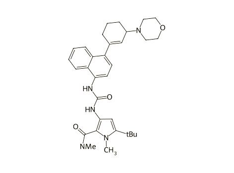 CNC(=O)c1c(NC(=O)Nc2ccc(C3=CC(N4CCOCC4)CCC3)c3ccccc23)cc(C(C)(C)C)n1C